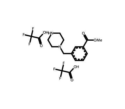 COC(=O)c1cccc(CN2CCNCC2)c1.O=C(O)C(F)(F)F.O=C(O)C(F)(F)F